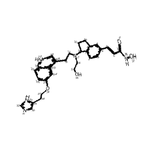 O=C(/C=C/c1ccc2c(c1)CCC2N(CCO)CCc1c[nH]c2ccc(OCCc3cnc[nH]3)cc12)NO